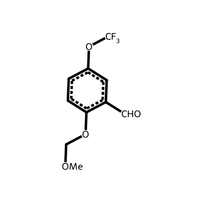 COCOc1ccc(OC(F)(F)F)cc1C=O